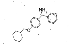 NC(c1ccc(OCC2CCCCC2)cc1)c1cccnc1